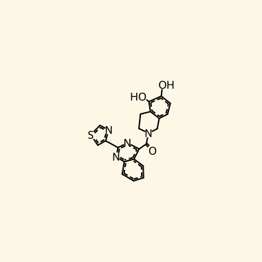 O=C(c1nc(-c2cscn2)nc2ccccc12)N1CCc2c(ccc(O)c2O)C1